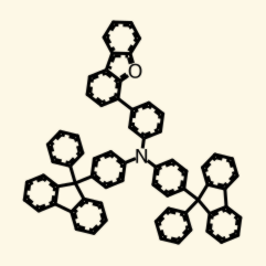 c1ccc(C2(c3ccc(N(c4ccc(C5(c6ccccc6)c6ccccc6-c6ccccc65)cc4)c4cccc(-c5cccc6c5oc5ccccc56)c4)cc3)c3ccccc3-c3ccccc32)cc1